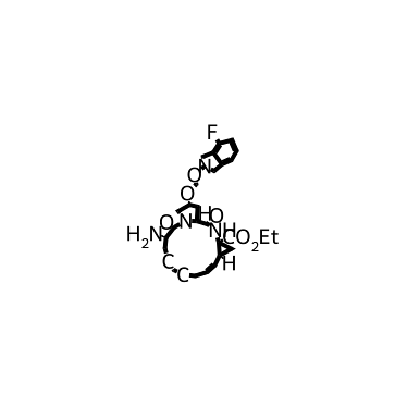 CCOC(=O)[C@@]12C[C@H]1/C=C\CCCCC[C@H](N)C(=O)N1C[C@H](OCON3Cc4cccc(F)c4C3)C[C@H]1C(=O)N2